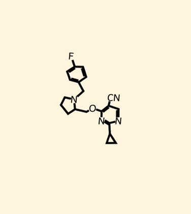 N#Cc1cnc(C2CC2)nc1OCC1CCCN1Cc1ccc(F)cc1